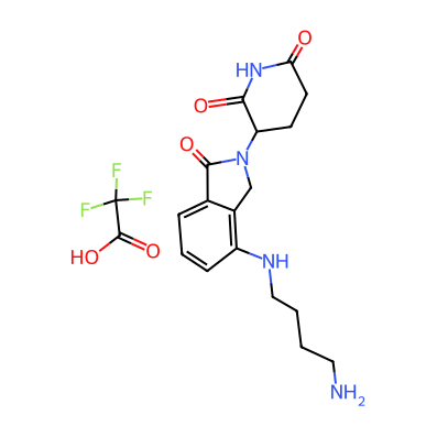 NCCCCNc1cccc2c1CN(C1CCC(=O)NC1=O)C2=O.O=C(O)C(F)(F)F